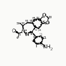 CC(=O)N1N=C(c2ccc(N)cc2)c2cc3c(cc2CC1C)OCO3